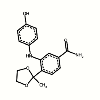 CC1(c2ccc(C(N)=O)cc2Nc2ccc(O)cc2)OCCO1